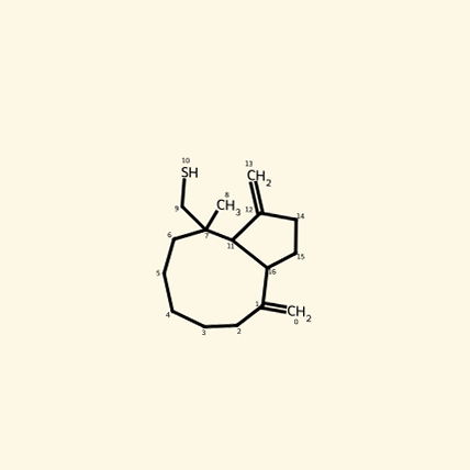 C=C1CCCCCC(C)(CS)C2C(=C)CCC12